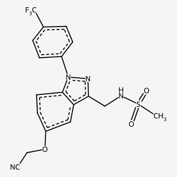 CS(=O)(=O)NCc1nn(-c2ccc(C(F)(F)F)cc2)c2ccc(OCC#N)cc12